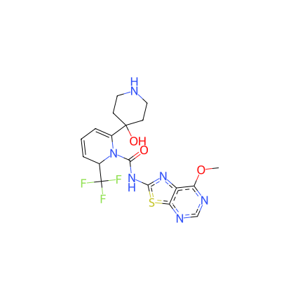 COc1ncnc2sc(NC(=O)N3C(C4(O)CCNCC4)=CC=CC3C(F)(F)F)nc12